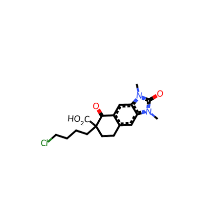 Cn1c(=O)n(C)c2cc3c(cc21)CCC(CCCCCl)(C(=O)O)C3=O